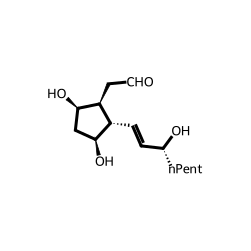 CCCCC[C@@H](O)C=C[C@H]1[C@H](CC=O)[C@H](O)C[C@@H]1O